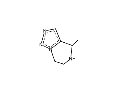 CC1NCCn2nncc21